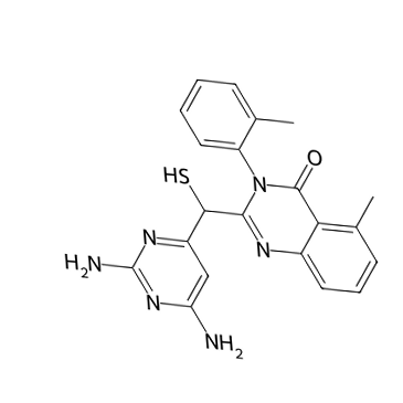 Cc1ccccc1-n1c(C(S)c2cc(N)nc(N)n2)nc2cccc(C)c2c1=O